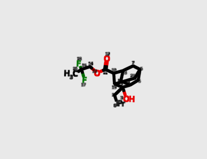 CC(C)CC1(O)C2CC3CC(C2)C(C(=O)OCC(C)(F)F)C1C3